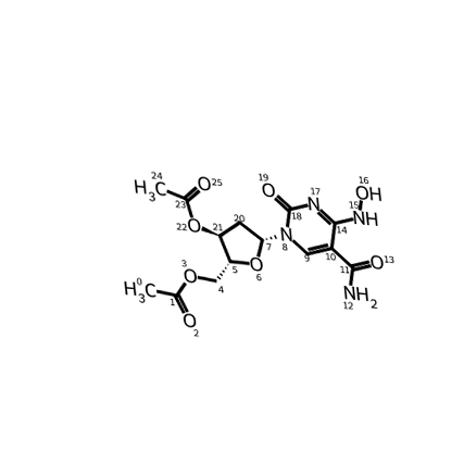 CC(=O)OC[C@H]1O[C@@H](n2cc(C(N)=O)c(NO)nc2=O)C[C@@H]1OC(C)=O